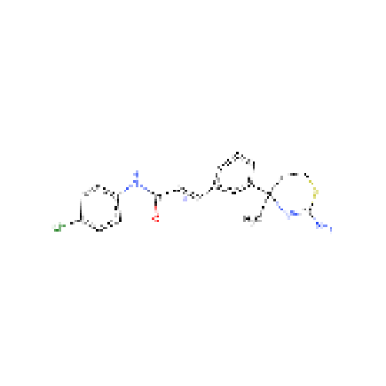 CC1(c2cccc(/C=C/C(=O)Nc3ccc(Cl)cc3)c2)CCSC(N)=N1